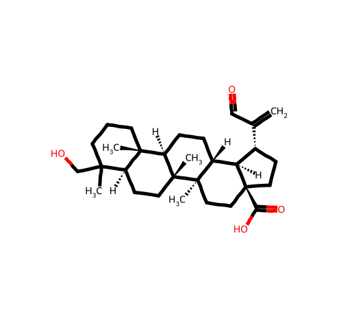 C=C(C=O)[C@@H]1CC[C@]2(C(=O)O)CC[C@]3(C)[C@H](CC[C@@H]4[C@@]5(C)CCCC(C)(CO)[C@@H]5CC[C@]43C)[C@@H]12